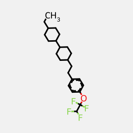 CCC1CCC(C2CCC(CCc3ccc(OC(F)(F)C(F)F)cc3)CC2)CC1